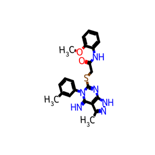 COc1ccccc1NC(=O)CSc1nc2[nH]nc(C)c2c(=N)n1-c1cccc(C)c1